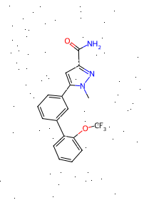 Cn1nc(C(N)=O)cc1-c1cccc(-c2ccccc2OC(F)(F)F)c1